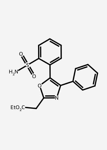 CCOC(=O)Cc1nc(-c2ccccc2)c(-c2ccccc2S(N)(=O)=O)o1